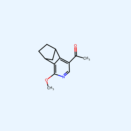 COc1ncc(C(C)=O)c2c1C1CCC2C1